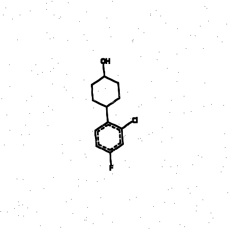 OC1CCC(c2ccc(F)cc2Cl)CC1